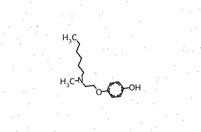 CCCCCCN(C)CCOc1ccc(O)cc1